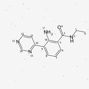 CCNC(=O)c1cccc(-c2ccncn2)c1N